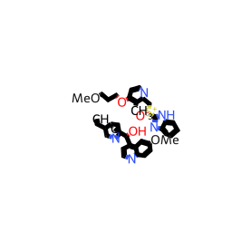 C=CC1CN2CCC1CC2C(O)c1ccnc2ccc(OC)cc12.COCCCOc1ccnc(C[S+]([O-])c2nc3ccccc3[nH]2)c1C